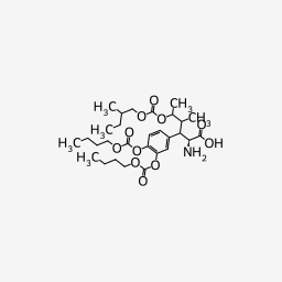 CCCCOC(=O)Oc1ccc(C(C(C)C(C)OC(=O)OCC(C)CC)[C@H](N)C(=O)O)cc1OC(=O)OCCCC